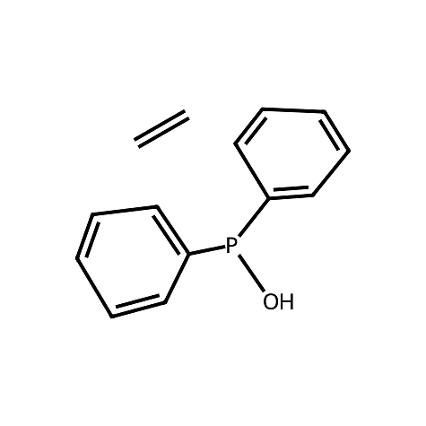 C=C.OP(c1ccccc1)c1ccccc1